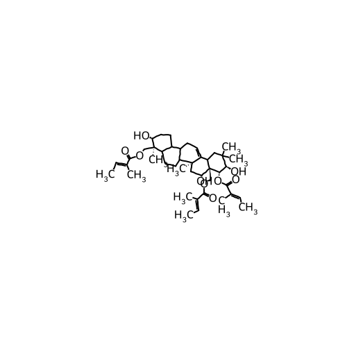 C/C=C(\C)C(=O)OC[C@@]12C(CC(C)(C)[C@@H](O)[C@@H]1OC(=O)/C(C)=C/C)C1=CCC3C4CC[C@H](O)[C@](C)(COC(=O)/C(C)=C/C)C4CCC3[C@]1(C)C[C@H]2O